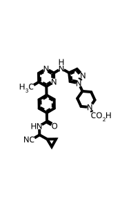 Cc1cnc(Nc2cnn(C3CCN(C(=O)O)CC3)c2)nc1-c1ccc(C(=O)NC(C#N)C2CC2)cc1